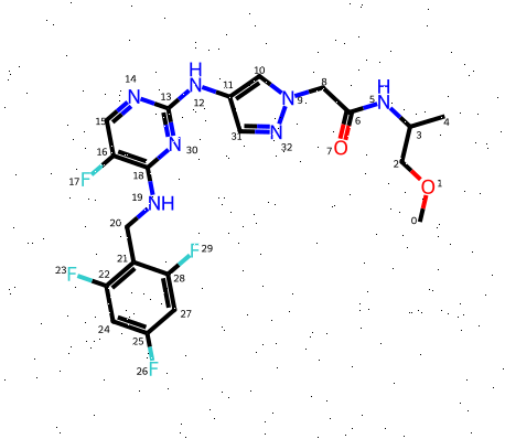 COCC(C)NC(=O)Cn1cc(Nc2ncc(F)c(NCc3c(F)cc(F)cc3F)n2)cn1